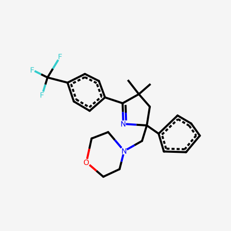 CC1(C)CC(CN2CCOCC2)(c2ccccc2)N=C1c1ccc(C(F)(F)F)cc1